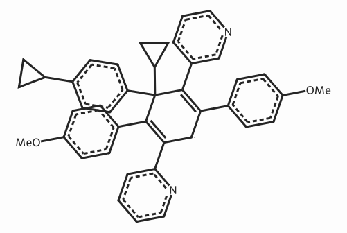 COc1ccc(C2=C(c3cccnc3)C(c3ccc(C4CC4)cc3)(C3CC3)C(c3ccc(OC)cc3)=C(c3ccccn3)[CH]2)cc1